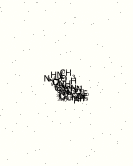 CNC(=O)c1cc(C#N)cc(C)c1NC(=O)c1cc(Nc2cc(C(F)(F)F)c(C(F)(F)F)cn2)nn1-c1ncccc1Cl